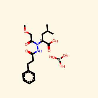 COCC(=O)N(NC(=O)CCc1ccccc1)[C@@H](CC(C)C)C(=O)O.OB(O)O